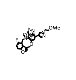 COCCn1cc(-c2cc3c(n4cnnc24)N(C(=O)O)Cc2c(F)ccc4c2[C@@H](CO4)CO3)cn1